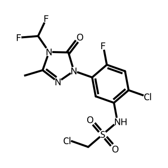 Cc1nn(-c2cc(NS(=O)(=O)CCl)c(Cl)cc2F)c(=O)n1C(F)F